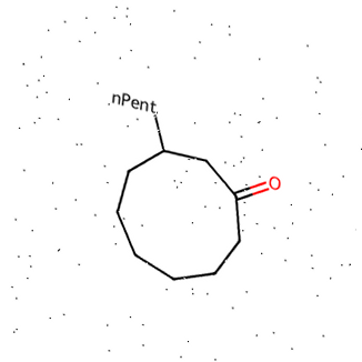 CCCCCC1CCCCCCC(=O)C1